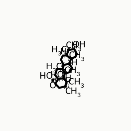 C[C@H]1[C@H](C)CC[C@]2(C(=O)O)CC[C@]3(C)[C@](O)(C=C[C@@H]4[C@@]5(C)CC[C@H](O)C(C)(C)[C@@H]5CC[C@]43C)[C@H]12